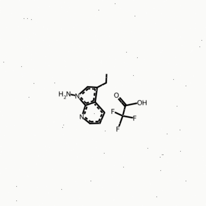 CCc1cn(N)c2ncccc12.O=C(O)C(F)(F)F